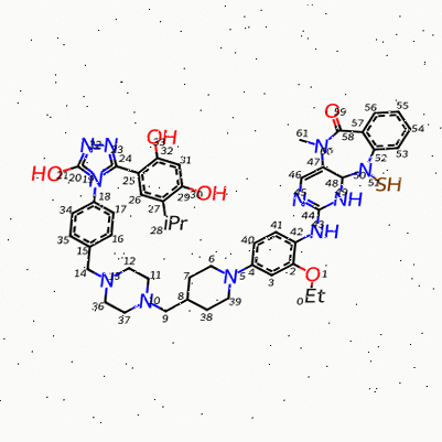 CCOc1cc(N2CCC(CN3CCN(Cc4ccc(-n5c(O)nnc5-c5cc(C(C)C)c(O)cc5O)cc4)CC3)CC2)ccc1NC1=NC=C2C(N1)N(S)c1ccccc1C(=O)N2C